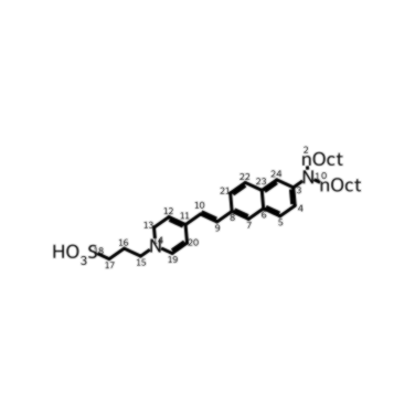 CCCCCCCCN(CCCCCCCC)c1ccc2cc(C=CC3=CCN(CCCS(=O)(=O)O)C=C3)ccc2c1